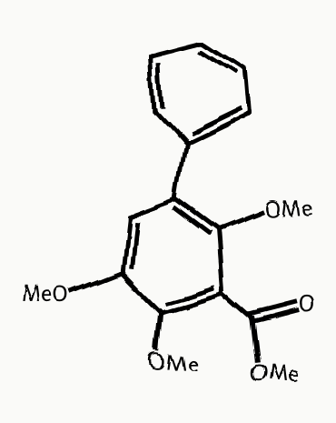 COC(=O)c1c(OC)c(OC)cc(-c2ccccc2)c1OC